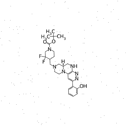 CC(C)(C)OC(=O)N1CCC(CN2CCN3c4cc(-c5ccccc5O)nnc4NC[C@H]3C2)C(F)(F)C1